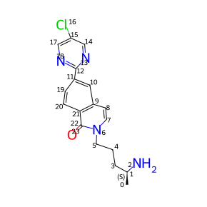 C[C@H](N)CCCn1ccc2cc(-c3ncc(Cl)cn3)ccc2c1=O